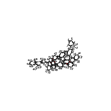 CC1(C)c2ccccc2-c2ccc(N(c3ccccc3-c3ccccc3)c3cccc4c3-c3ccccc3C43c4ccccc4C4(c5ccccc5-c5c(N(c6ccc7c(c6)C(C)(C)c6ccccc6-7)c6ccccc6-c6ccccc6)cccc54)c4ccccc43)cc21